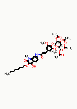 CCCCCCCCOc1c(O)c2ccc(NC(=O)/C=C/c3cc(OC)c(O[C@@H]4O[C@H](COC(C)=O)[C@@H](OC(C)=O)[C@H](OC(C)=O)[C@H]4OC(C)=O)c(OC)c3)cc2n(C)c1=O